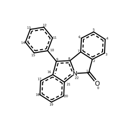 O=C1c2ccccc2-c2c(-c3ccccc3)c3ccccc3n21